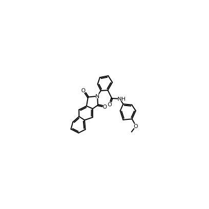 COc1ccc(NC(=O)c2ccccc2N2C(=O)c3cc4ccccc4cc3C2=O)cc1